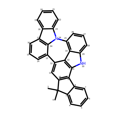 CC1(C)c2ccccc2-c2c1cc1c3cccc4c5ccccc5n(c5cccc6[nH]c2c1c65)c34